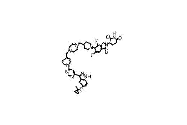 CC1(Oc2ccc3[nH]nc(-c4cc(N5CCC(CN6CCN(CC7CCN(c8c(F)cc9c(c8F)CN(C8CCC(=O)NC8=O)C9=O)CC7)CC6)CC5)ncn4)c3c2)CC1